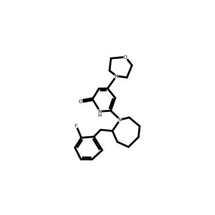 O=c1cc(N2CCOCC2)cc(N2CCCCCC2Cc2ccccc2F)[nH]1